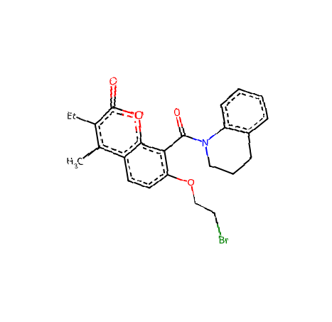 CCc1c(C)c2ccc(OCCBr)c(C(=O)N3CCCc4ccccc43)c2oc1=O